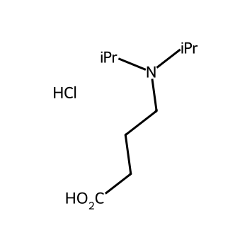 CC(C)N(CCCC(=O)O)C(C)C.Cl